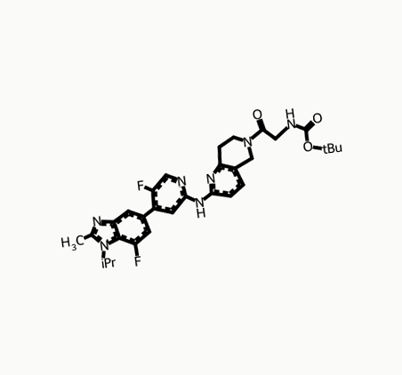 Cc1nc2cc(-c3cc(Nc4ccc5c(n4)CCN(C(=O)CNC(=O)OC(C)(C)C)C5)ncc3F)cc(F)c2n1C(C)C